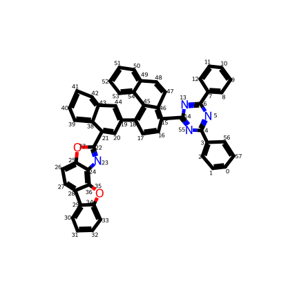 c1ccc(-c2nc(-c3ccccc3)nc(-c3ccc(-c4cc(-c5nc6c(ccc7c8ccccc8oc76)o5)c5ccccc5c4)c4c3ccc3ccccc34)n2)cc1